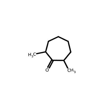 CC1CCCCC(C)C1=O